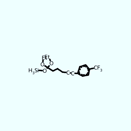 CCOC(CCCCCc1ccc(C(F)(F)F)cc1)(O[SiH3])OCC